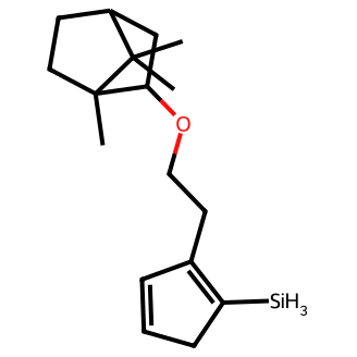 CC1(C)C2CCC1(C)C(OCCC1=C([SiH3])CC=C1)C2